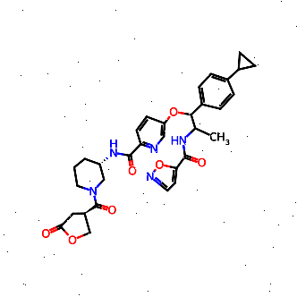 CC(NC(=O)c1ccno1)C(Oc1ccc(C(=O)N[C@H]2CCCN(C(=O)[C@H]3COC(=O)C3)C2)nc1)c1ccc(C2CC2)cc1